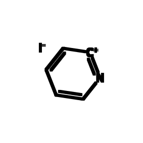 [C+]1=NC=CC=C1.[I-]